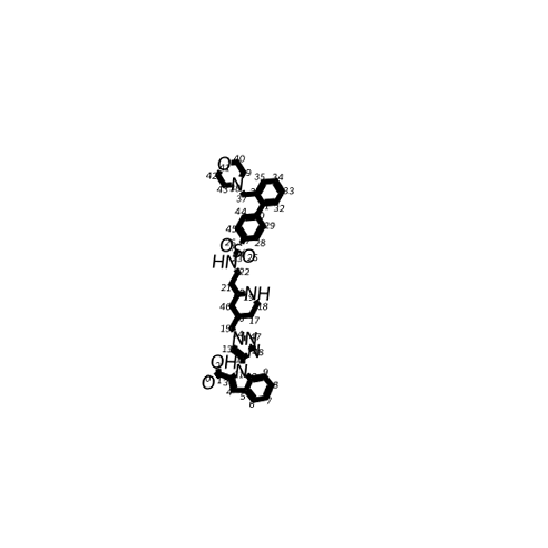 O=C(O)c1cc2ccccc2n1-c1cn(CC2CCNC(CCNS(=O)(=O)c3ccc(-c4ccccc4CN4CCOCC4)cc3)C2)nn1